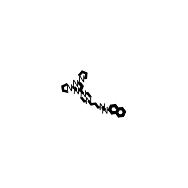 c1ccc2cc(N=NCCCN3CCN(c4cc(N5CCCC5)nc(N5CCCC5)n4)CC3)ccc2c1